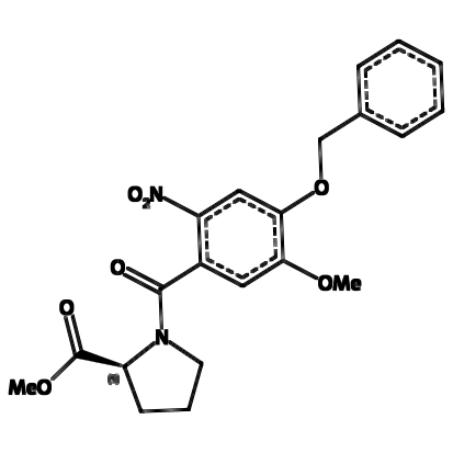 COC(=O)[C@@H]1CCCN1C(=O)c1cc(OC)c(OCc2ccccc2)cc1[N+](=O)[O-]